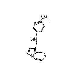 Cc1ccc(NCc2cnn3cccnc23)cn1